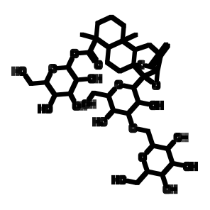 C=C1CC23CCC4C(C)(C(=O)OC5OC(CO)C(O)C(O)C5O)CCCC4(C)C2CCC12OC23C1OC(CO)C(O)C(OCC2OC(CO)C(O)C(O)C2O)C1O